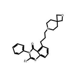 CCc1nc2cccc(CCCN3CCC4(CC3)COC4)c2c(=O)n1-c1ccccc1